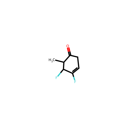 CC1C(=O)CC=C(F)C1F